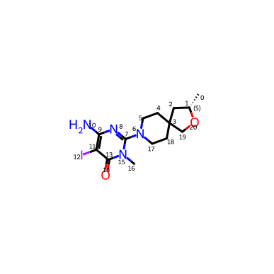 C[C@H]1CC2(CCN(c3nc(N)c(I)c(=O)n3C)CC2)CO1